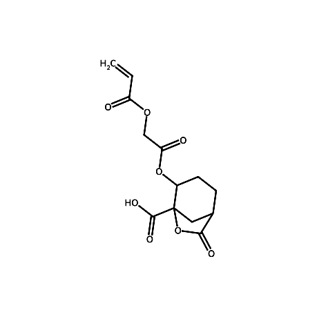 C=CC(=O)OCC(=O)OC1CCC2CC1(C(=O)O)OC2=O